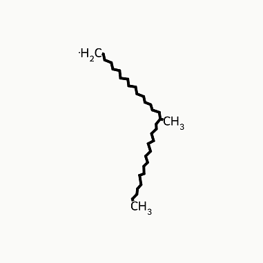 [CH2]CCCCCCCCCCCCCCCC(C)CCCCCCCCCCCCCCCC